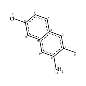 Cc1cc2ccc(Cl)cc2cc1N